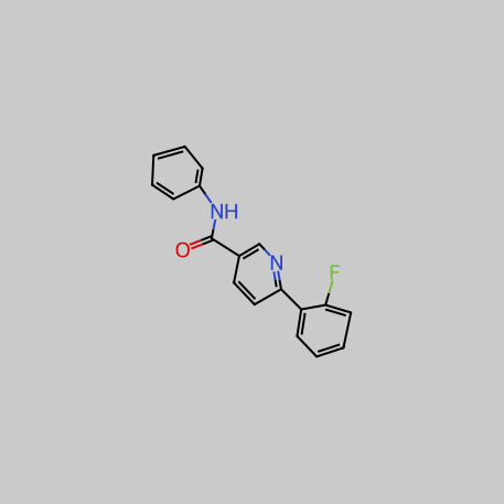 O=C(Nc1ccccc1)c1ccc(-c2ccccc2F)nc1